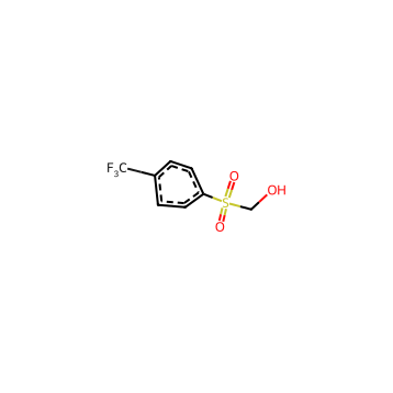 O=S(=O)(CO)c1ccc(C(F)(F)F)cc1